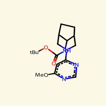 COc1cc(N2CC3CCC(C2)C3NC(=O)OC(C)(C)C)ncn1